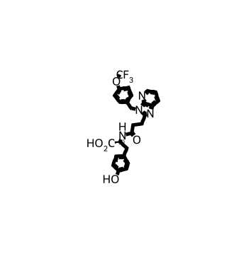 O=C(CCc1nc2cccnc2n1Cc1ccc(OC(F)(F)F)cc1)N[C@@H](Cc1ccc(O)cc1)C(=O)O